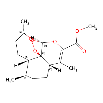 COC(=O)C1=C(C)[C@@H]2CC[C@@H](C)[C@@H]3CC[C@]4(C)OO[C@@]23[C@H](O1)O4